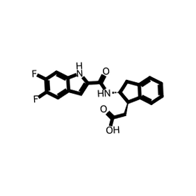 O=C(O)C[C@@H]1c2ccccc2C[C@H]1NC(=O)c1cc2cc(F)c(F)cc2[nH]1